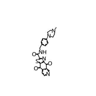 CN1CCN(c2ccc(CNC(=O)c3nc4c(s3)C(=O)c3ccncc3C4=O)cc2)CC1